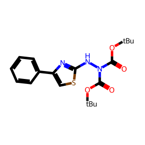 CC(C)(C)OC(=O)N(Nc1nc(-c2ccccc2)cs1)C(=O)OC(C)(C)C